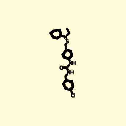 CCN(SCc1ccc(NC(=O)NCc2ccc(Cl)cc2)cc1)c1ccccc1